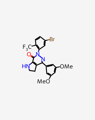 COc1cc(OC)cc(-c2nn(-c3cc(Br)ccc3C(F)(F)F)c(=O)c3c2CCN3)c1